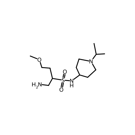 COCCC(CN)S(=O)(=O)NC1CCN(C(C)C)CC1